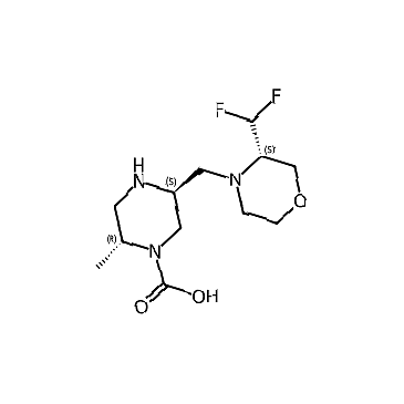 C[C@@H]1CN[C@@H](CN2CCOC[C@H]2C(F)F)CN1C(=O)O